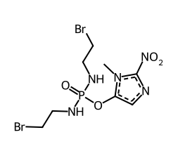 Cn1c(OP(=O)(NCCBr)NCCBr)cnc1[N+](=O)[O-]